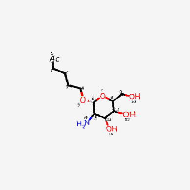 CC(=O)CCCCO[C@@H]1OC(CO)C(O)[C@@H](O)C1N